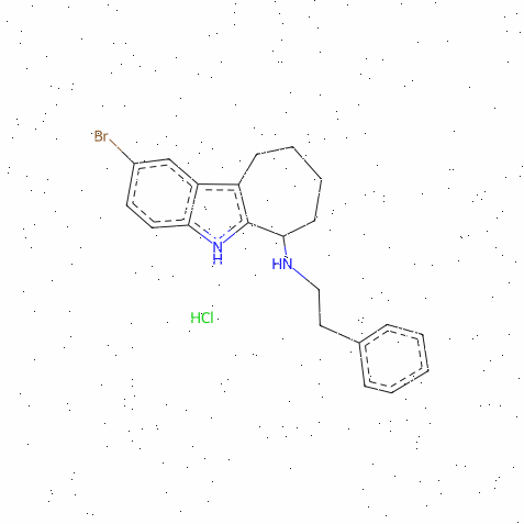 Brc1ccc2[nH]c3c(c2c1)CCCCC3NCCc1ccccc1.Cl